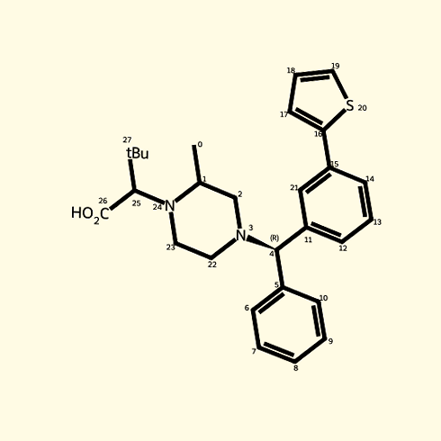 CC1CN([C@H](c2ccccc2)c2cccc(-c3cccs3)c2)CCN1C(C(=O)O)C(C)(C)C